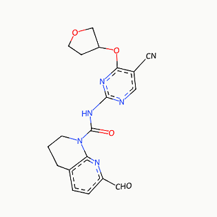 N#Cc1cnc(NC(=O)N2CCCc3ccc(C=O)nc32)nc1OC1CCOC1